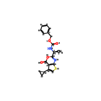 C[C@H](NC(=O)OCc1ccccc1)c1nc2scc(C3CC3)c2c(=O)o1